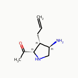 C=CC[C@H]1[C@@H](C(C)=O)NC[C@@H]1N